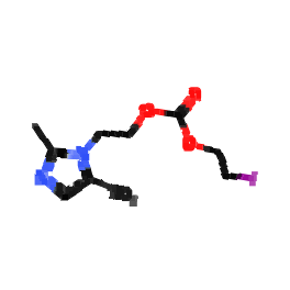 Cc1ncc([N+](=O)[O-])n1CCOC(=O)OCCI